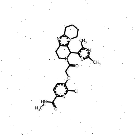 CNC(=O)c1ccc(OCC(=O)N2CCc3nc4n(c3C2c2sc(C)nc2C)CCCC4)c(Cl)n1